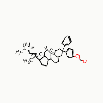 CC(C)CCCC(C)C1CCC2C3CCC4CC(c5ccccc5)(c5ccc(OC=O)cc5)CCC4(C)C3CC[C@]12C